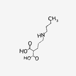 CCCCNCCCC(C(=O)O)C(=O)O